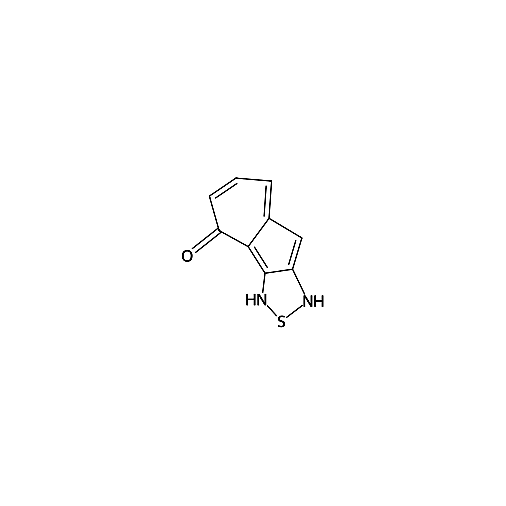 O=c1cccc2cc3[nH]s[nH]c-3c1-2